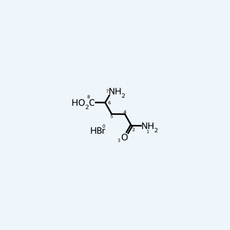 Br.NC(=O)CCC(N)C(=O)O